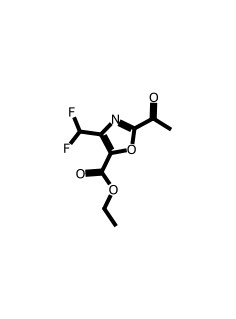 CCOC(=O)c1oc(C(C)=O)nc1C(F)F